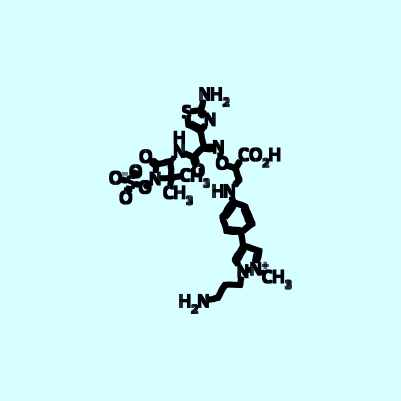 C[n+]1cc(-c2ccc(NCC(ON=C(C(=O)N[C@@H]3C(=O)N(OS(=O)(=O)[O-])C3(C)C)c3csc(N)n3)C(=O)O)cc2)cn1CCCN